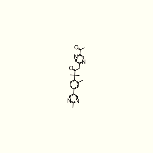 CC(=O)c1cnc(CC(=O)C(C)(C)c2ccc(-c3cnc(C)nc3)cc2C)cn1